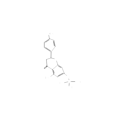 CC(C)COc1ccc(C2CC(=O)c3c(O)cc(O[Si](C)(C)C(C)(C)C)cc3O2)cc1